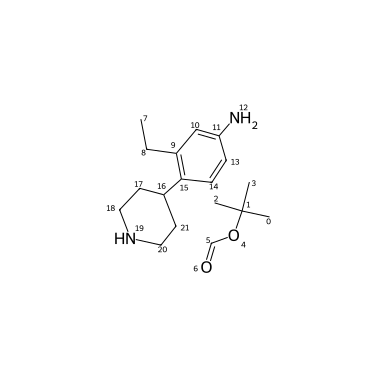 CC(C)(C)OC=O.CCc1cc(N)ccc1C1CCNCC1